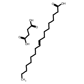 CCCCCCCCC=CCCCCCCCC(=O)O.O=C(O)CCC(=O)O